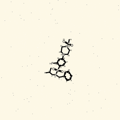 CC(C)CN(Cc1ccccc1)S(=O)(=O)c1ccc(N2CCN(S(C)(=O)=O)CC2)cc1F